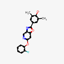 Cc1cc(-c2nc3cnc(Oc4ccccc4F)cc3o2)cc(C)c1[O]